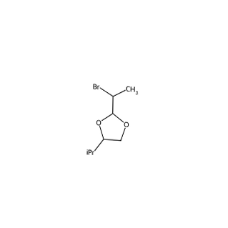 CC(C)C1COC(C(C)Br)O1